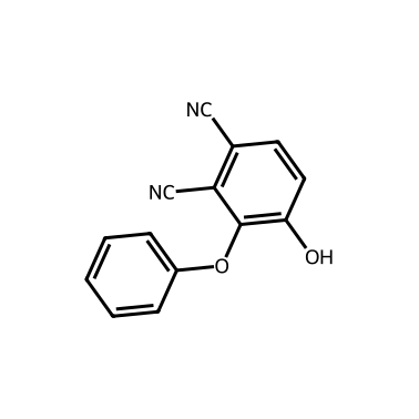 N#Cc1ccc(O)c(Oc2ccccc2)c1C#N